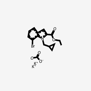 CCOC(=O)c1cc2cccc(Br)c2n1CC1CC1.O=C([O-])[O-].[K+].[K+]